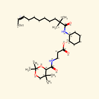 CCCCCCCC/C=C\CCCCCCC(C)(C)C(=O)N[C@H]1CCCC[C@@H]1OC(=O)CCNC(=O)C1OC(C)(C)OCC1(C)C